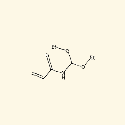 C=CC(=O)NC(OCC)OCC